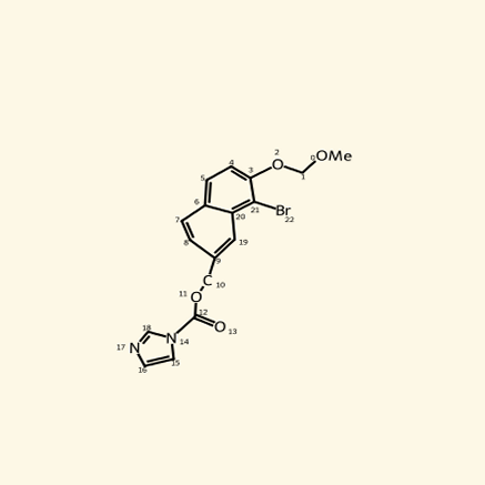 COCOc1ccc2ccc(COC(=O)n3ccnc3)cc2c1Br